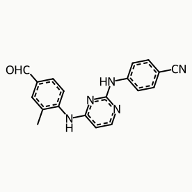 Cc1cc(C=O)ccc1Nc1ccnc(Nc2ccc(C#N)cc2)n1